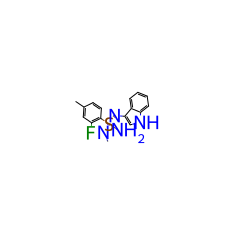 CN=S(N)(=Nc1c[nH]c2ccccc12)c1ccc(C)cc1F